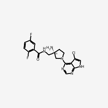 N[C@]1(CNC(=O)c2cc(F)ccc2F)CCN(c2ncnc3[nH]cc(Cl)c23)C1